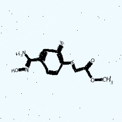 COC(=O)CSc1ccc(/C(N)=N/O)cc1F